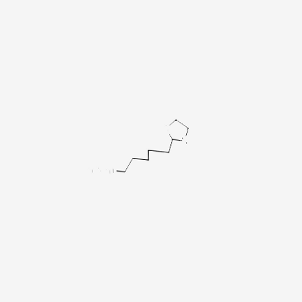 CCCCCCCCCCC1NCCS1